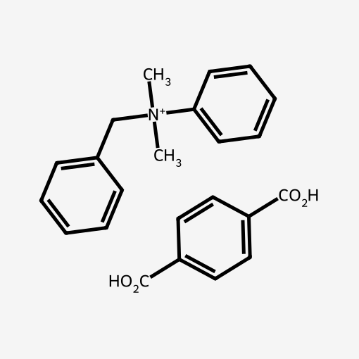 C[N+](C)(Cc1ccccc1)c1ccccc1.O=C(O)c1ccc(C(=O)O)cc1